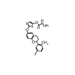 CCCNC(=O)Oc1cnc(Oc2ccc3c(c2)CCC(c2cc(F)ccc2C)O3)s1